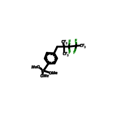 CO[Si](OC)(OC)c1ccc(CC(C(F)(F)F)(C(F)(F)F)C(F)(F)C(F)(F)C(F)(F)F)cc1